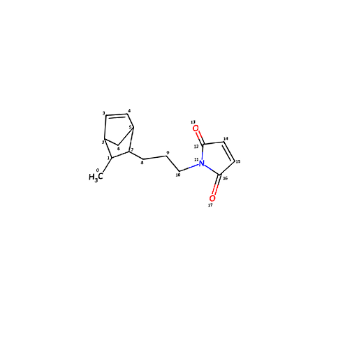 CC1C2C=CC(C2)C1CCCN1C(=O)C=CC1=O